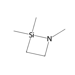 CN1CC[Si]1(C)C